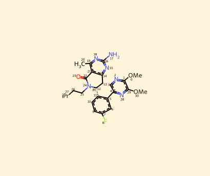 COc1ncc(-c2cc(F)ccc2[C@H]2Cc3nc(N)nc(C)c3C(=O)N2CCC(C)C)nc1OC